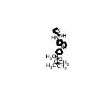 CN(C(=O)OC(C)(C)C)C1CCC(N2CCCc3cc(NC(=N)c4cccs4)ccc32)CC1